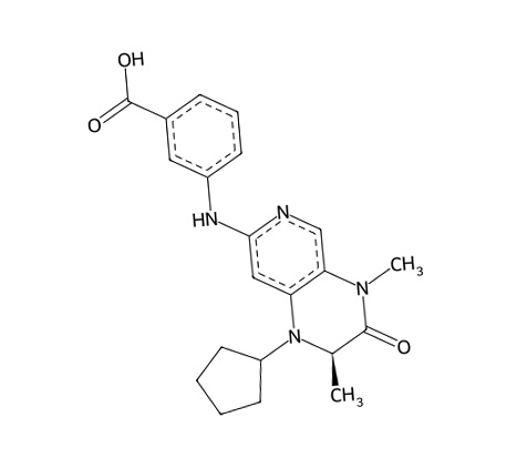 C[C@@H]1C(=O)N(C)c2cnc(Nc3cccc(C(=O)O)c3)cc2N1C1CCCC1